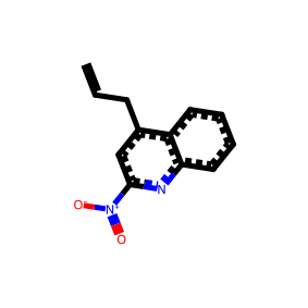 C=CCc1cc([N+](=O)[O-])nc2ccccc12